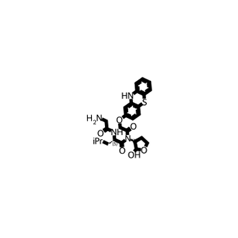 CC(C)C[C@H](NC(=O)CN)C(=O)N(C(=O)COc1ccc2c(c1)Nc1ccccc1S2)[C@H]1CCOC1O